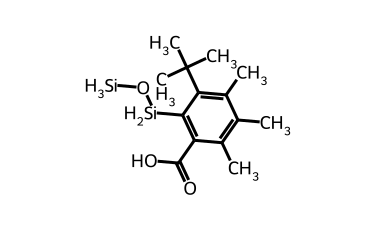 Cc1c(C)c(C(=O)O)c([SiH2]O[SiH3])c(C(C)(C)C)c1C